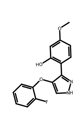 COc1ccc(-c2n[nH]cc2Oc2ccccc2F)c(O)c1